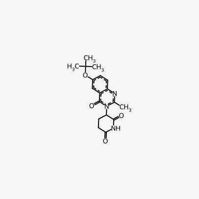 Cc1nc2ccc(OC(C)(C)C)cc2c(=O)n1C1CCC(=O)NC1=O